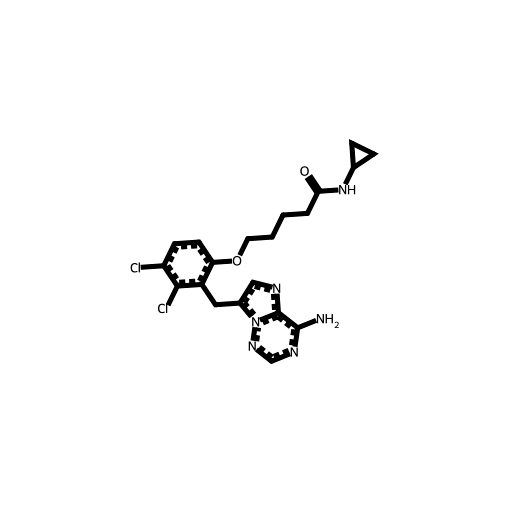 Nc1ncnn2c(Cc3c(OCCCCC(=O)NC4CC4)ccc(Cl)c3Cl)cnc12